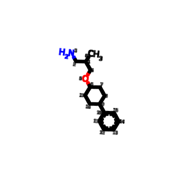 CC(CN)COC1CCC(c2ccccc2)CC1